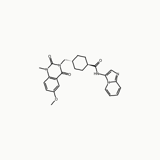 COc1ccc2c(c1)c(=O)n(C[C@H]1CC[C@H](C(=O)Nc3cnc4ccccn34)CC1)c(=O)n2C